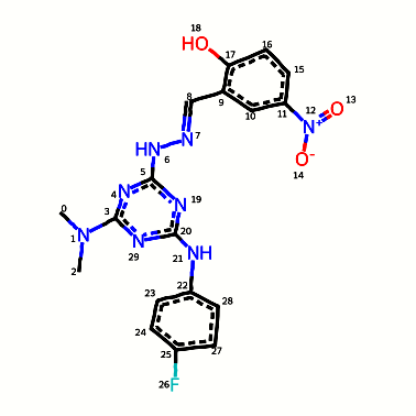 CN(C)c1nc(N/N=C/c2cc([N+](=O)[O-])ccc2O)nc(Nc2ccc(F)cc2)n1